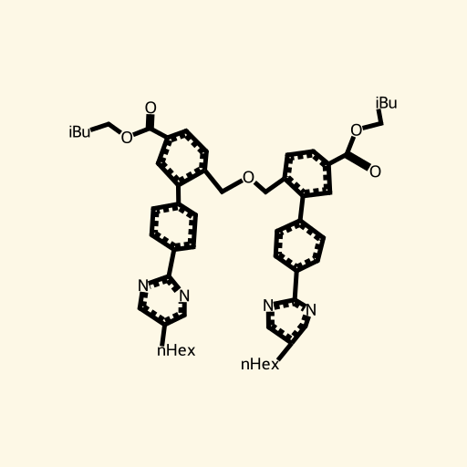 CCCCCCc1cnc(-c2ccc(-c3cc(C(=O)OCC(C)CC)ccc3COCc3ccc(C(=O)OCC(C)CC)cc3-c3ccc(-c4ncc(CCCCCC)cn4)cc3)cc2)nc1